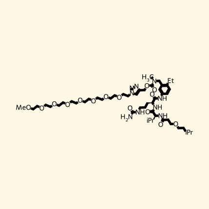 CCc1ccc(NC(=O)[C@H](CCCNC(N)=O)NC(=O)[C@@H](NC(=O)CCOCCC(C)C)C(C)C)cc1CN(C)C(=O)OCc1cn(CCOCCOCCOCCOCCOCCOCCOCCOC)nn1